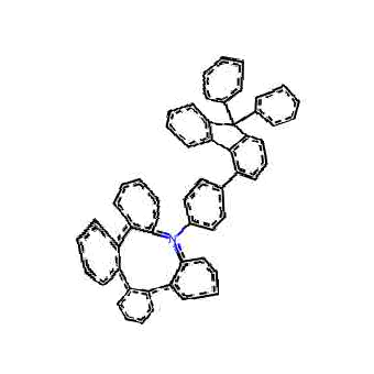 c1ccc(C2(c3ccccc3)c3ccccc3-c3c(-c4ccc(-n5c6ccccc6c6ccccc6c6ccccc6c6ccccc65)cc4)cccc32)cc1